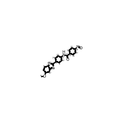 COc1ccc2nc(-c3ccc(NC(=O)c4ccc(N=O)cc4)cc3)sc2c1